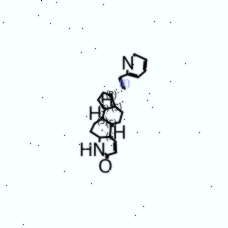 C[C@]12CC[C@H]3[C@@H](CCC4NC(=O)C=C[C@@]43C)[C@@H]1CC[C@@H]2/C=C/c1ccccn1